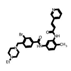 CCN1CCN(Cc2ccc(C(=O)Nc3ccc(C)c(NC(=O)C=Cc4cccnc4)c3)cc2Br)CC1